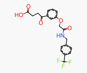 O=C(O)CCC(=O)c1cccc(OCC(=O)NCc2ccc(C(F)(F)F)cc2)c1